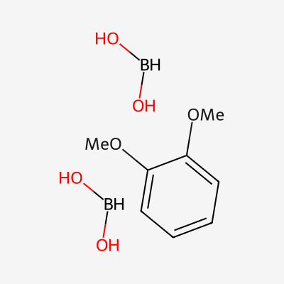 COc1ccccc1OC.OBO.OBO